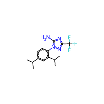 CC(C)c1ccc(-n2nc(C(F)(F)F)nc2N)c(C(C)C)c1